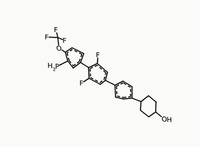 OC1CCC(c2ccc(-c3cc(F)c(-c4ccc(OC(F)(F)F)c(P)c4)c(F)c3)cc2)CC1